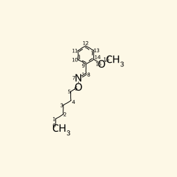 CCCCCCO/N=[C]/c1ccccc1OC